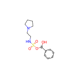 O=S(=O)(NCCN1CCCC1)OB(O)c1ccccc1